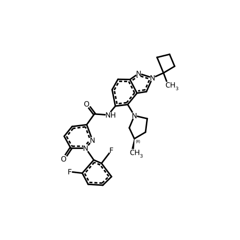 C[C@@H]1CCN(c2c(NC(=O)c3ccc(=O)n(-c4c(F)cccc4F)n3)ccc3nn(C4(C)CCC4)cc23)C1